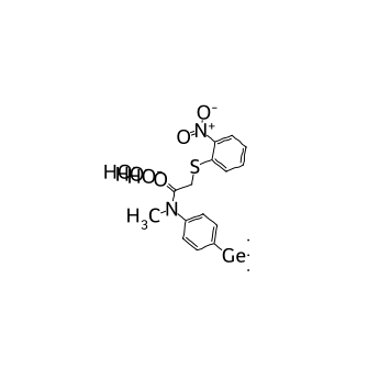 CN(C(=O)CSc1ccccc1[N+](=O)[O-])c1cc[c]([Ge])cc1.[OH-].[OH-].[OH-]